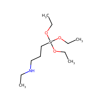 CCNCCC[Si](OCC)(OCC)OCC